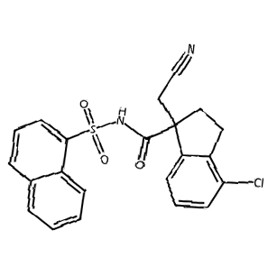 N#CCC1(C(=O)NS(=O)(=O)c2cccc3ccccc23)CCc2c(Cl)cccc21